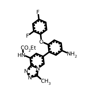 CCOC(=O)Nc1cc(-c2cc(N)ccc2Oc2ccc(F)cc2F)cn2c(C)nnc12